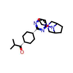 CCN1CC2CCC(C1)N2c1ccnc([C@H]2CC[C@@H](C(=O)C(C)C)CC2)n1